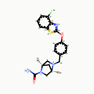 NC(=O)N1C[C@H]2C[C@@H]1CN2Cc1ccc(Oc2nc3c(F)cccc3s2)cc1